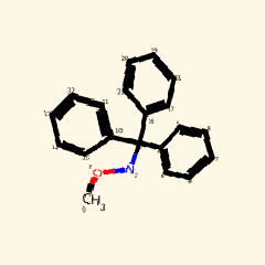 CO[N]C(c1ccccc1)(c1ccccc1)c1ccccc1